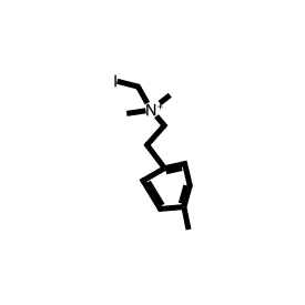 Cc1ccc(CC[N+](C)(C)CI)cc1